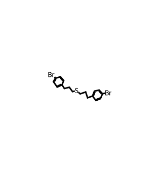 Brc1ccc(CCCSCCCc2ccc(Br)cc2)cc1